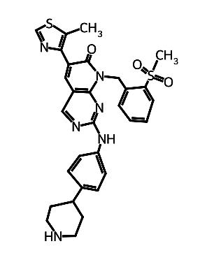 Cc1scnc1-c1cc2cnc(Nc3ccc(C4CCNCC4)cc3)nc2n(Cc2ccccc2S(C)(=O)=O)c1=O